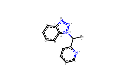 CCC(c1ccccn1)n1nnc2ccccc21